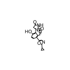 O=C1CN(c2c(O)ccc(-c3cnc(C4CC4)o3)c2F)S(=O)(=O)N1